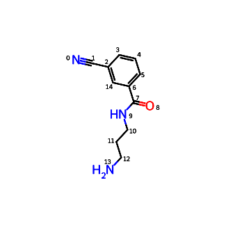 N#Cc1cccc(C(=O)NCCCN)c1